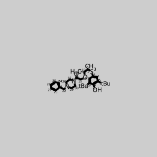 C[C@H](Sc1cc(C(C)(C)C)c(O)c(C(C)(C)C)c1)[C@@H](C)OCC(=O)N1CCN(Cc2ccccc2)CC1